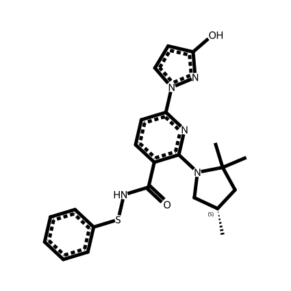 C[C@@H]1CN(c2nc(-n3ccc(O)n3)ccc2C(=O)NSc2ccccc2)C(C)(C)C1